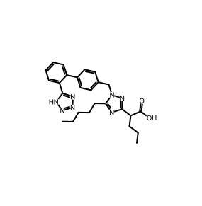 CCCCCc1nc(C(CCC)C(=O)O)nn1Cc1ccc(-c2ccccc2-c2nnn[nH]2)cc1